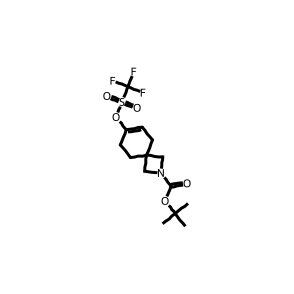 CC(C)(C)OC(=O)N1CC2(CC=C(OS(=O)(=O)C(F)(F)F)CC2)C1